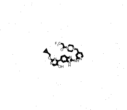 O=C(CC(F)(F)F)N1CCN(Cc2ccnc(Nc3nc4ccc(-c5nc(OCC6CC6)ncc5O)cc4[nH]3)c2)CC1